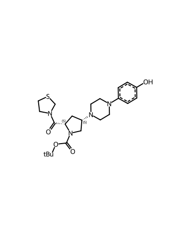 CC(C)(C)OC(=O)N1C[C@@H](N2CCN(c3ccc(O)cc3)CC2)C[C@H]1C(=O)N1CCSC1